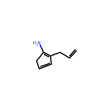 C=CCC1=C(N)CC=C1